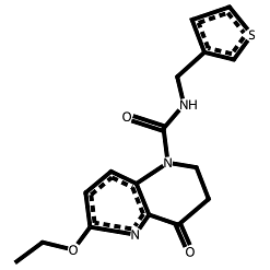 CCOc1ccc2c(n1)C(=O)CCN2C(=O)NCc1ccsc1